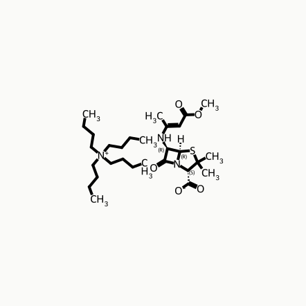 CCCC[N+](CCCC)(CCCC)CCCC.COC(=O)C=C(C)N[C@@H]1C(=O)N2[C@@H]1SC(C)(C)[C@@H]2C(=O)[O-]